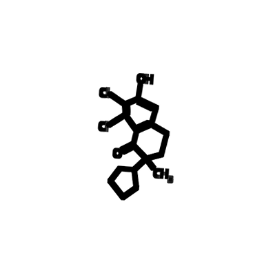 CC1(C2CCCC2)CCc2cc(O)c(Cl)c(Cl)c2C1=O